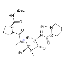 CCCCCCCCCCNC(=O)[C@@H]1CCCN1C(=O)/C(C)=C/[C@H](C(C)C)N(C)C(=O)[C@@H](NC(=O)[C@H]1CCCCN1C(C)C)C(C)(C)C